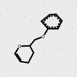 C1=COC(COc2ccccc2)CC1